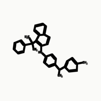 Cc1ccc(C(C)c2ccc(Nc3ccc4ccccc4c3C(C)(C)c3ccccc3)cc2)cc1